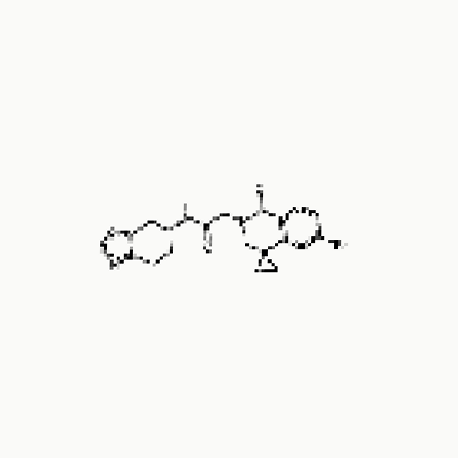 O=C(CN1CC2(CC2)c2cc(Br)ccc2C1=O)N[C@H]1CCn2nccc2C1